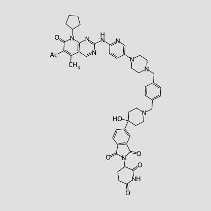 CC(=O)c1c(C)c2cnc(Nc3ccc(N4CCN(Cc5ccc(CN6CCC(O)(c7ccc8c(c7)C(=O)N(C7CCC(=O)NC7=O)C8=O)CC6)cc5)CC4)cn3)nc2n(C2CCCC2)c1=O